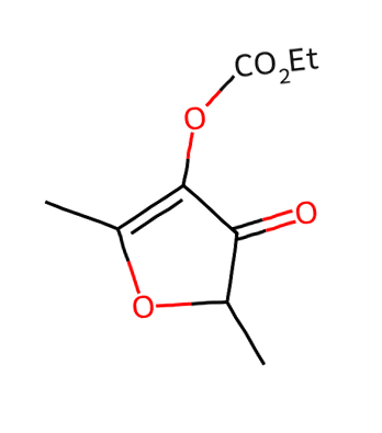 CCOC(=O)OC1=C(C)OC(C)C1=O